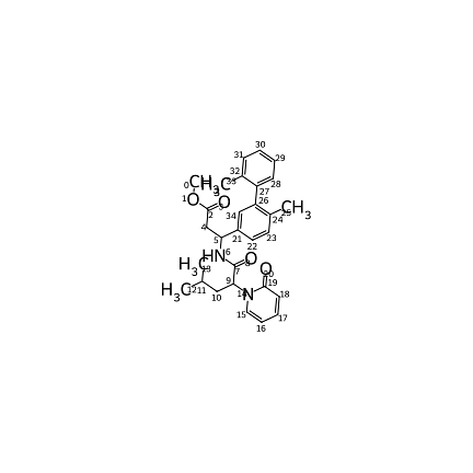 COC(=O)CC(NC(=O)C(CC(C)C)n1ccccc1=O)c1ccc(C)c(-c2ccccc2C)c1